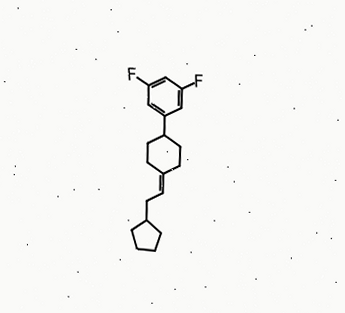 Fc1cc(F)cc(C2CCC(=CCC3CCCC3)CC2)c1